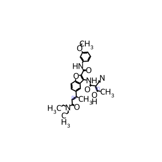 CCN(CC)C(=O)/C=C(\C)c1ccc2oc(C(=O)Nc3cccc(OC)c3)c(NC(=O)/C(C#N)=C(/C)O)c2c1